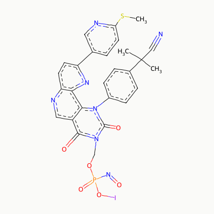 CSc1ccc(-c2ccc3ncc4c(=O)n(COP(=O)(N=O)OI)c(=O)n(-c5ccc(C(C)(C)C#N)cc5)c4c3n2)cn1